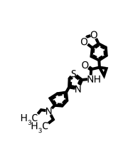 CCN(CC)c1ccc(-c2csc(NC(=O)C3(c4ccc5c(c4)OCO5)CC3)n2)cc1